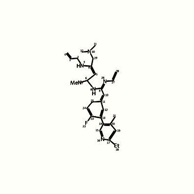 C=CCN/C(=C\C(NC)NC(/C=C1/C=C(c2cnc(CC)cc2C)C(F)=CC1)=N/C=C)CN(C)C